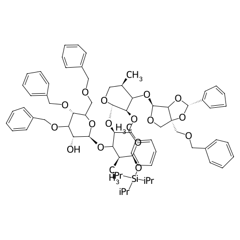 CC1O[C@@H](O[Si](C(C)C)(C(C)C)C(C)C)[C@@H](C)C(O[C@@H]2OC(COCc3ccccc3)[C@@H](OCc3ccccc3)C(OCc3ccccc3)[C@H]2O)[C@H]1O[C@@H]1OC[C@@H](C)C(O[C@@H]2OC[C@]3(COCc4ccccc4)O[C@@H](c4ccccc4)OC23)[C@H]1OCc1ccccc1